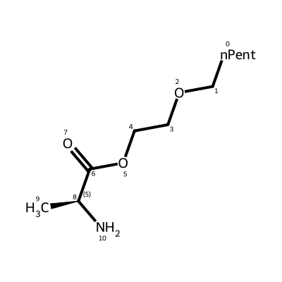 CCCCCCOCCOC(=O)[C@H](C)N